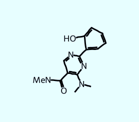 CNC(=O)c1cnc(-c2ccccc2O)nc1N(C)C